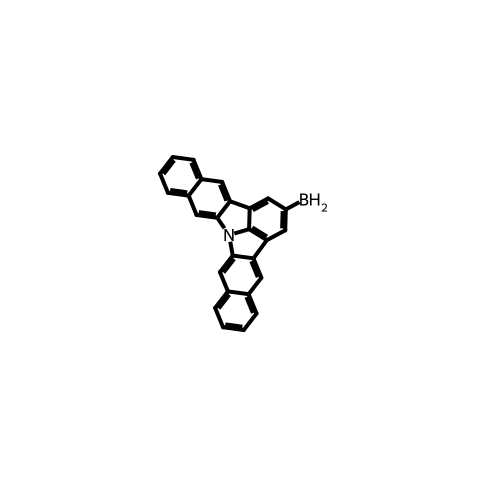 Bc1cc2c3cc4ccccc4cc3n3c4cc5ccccc5cc4c(c1)c23